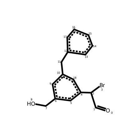 O=CC(Br)c1cc(CO)cc(Cc2ccccc2)c1